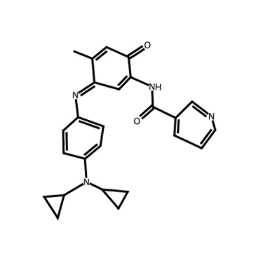 CC1=CC(=O)C(NC(=O)c2cccnc2)=CC1=Nc1ccc(N(C2CC2)C2CC2)cc1